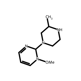 CON1C=CC=NC1N1CCNC(C)C1